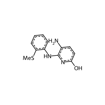 CSc1ccccc1Nc1nc(O)ccc1N